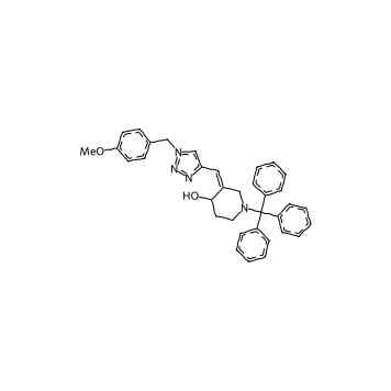 COc1ccc(Cn2cc(/C=C3/CN(C(c4ccccc4)(c4ccccc4)c4ccccc4)CCC3O)nn2)cc1